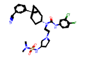 CN(C)S(=O)(=O)NC1CCN(CCN(C(=O)Nc2ccc(F)c(Cl)c2)[C@@H]2CC[C@]3(c4cccc(C#N)c4)CC3C2)C1